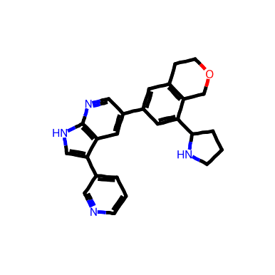 c1cncc(-c2c[nH]c3ncc(-c4cc5c(c(C6CCCN6)c4)COCC5)cc23)c1